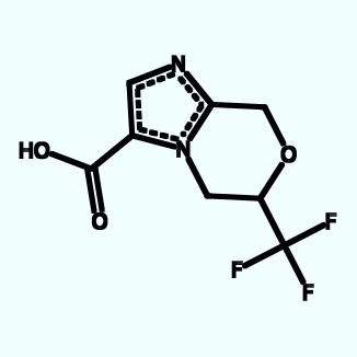 O=C(O)c1cnc2n1CC(C(F)(F)F)OC2